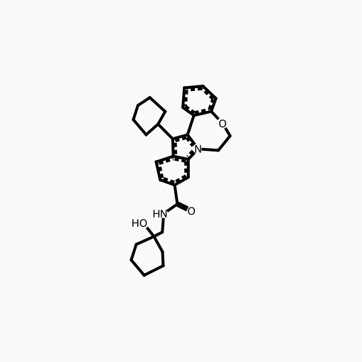 O=C(NCC1(O)CCCCC1)c1ccc2c(C3CCCCC3)c3n(c2c1)CCOc1ccccc1-3